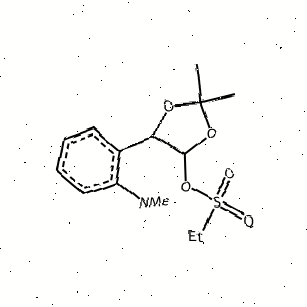 CCS(=O)(=O)OC1OC(C)(C)OC1c1ccccc1NC